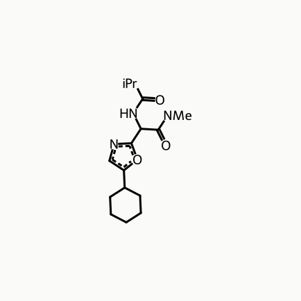 CNC(=O)C(NC(=O)C(C)C)c1ncc(C2CCCCC2)o1